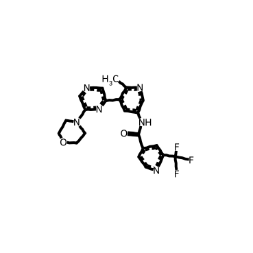 Cc1ncc(NC(=O)c2ccnc(C(F)(F)F)c2)cc1-c1cncc(N2CCOCC2)n1